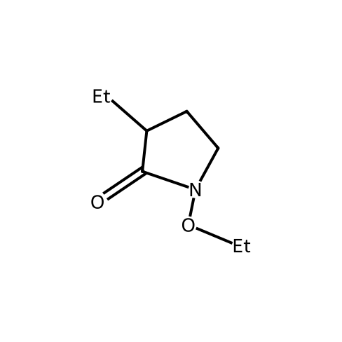 CCON1CCC(CC)C1=O